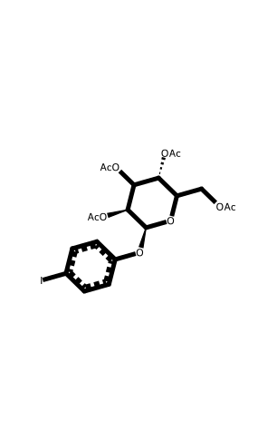 CC(=O)OCC1O[C@@H](Oc2ccc(I)cc2)[C@@H](OC(C)=O)C(OC(C)=O)[C@@H]1OC(C)=O